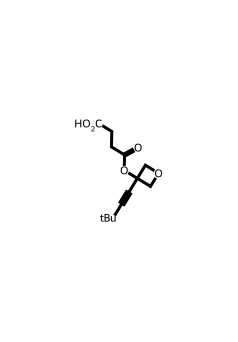 CC(C)(C)C#CC1(OC(=O)CCC(=O)O)COC1